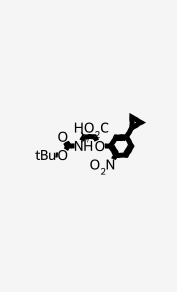 CC(C)(C)OC(=O)N[C@@H](COc1cc(C2CC2)ccc1[N+](=O)[O-])C(=O)O